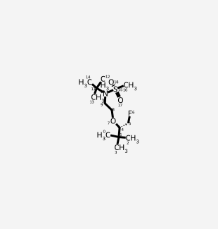 CC(C)(C)[C@@H](CF)OCCN(C(C)(C)C)S(C)(=O)=O